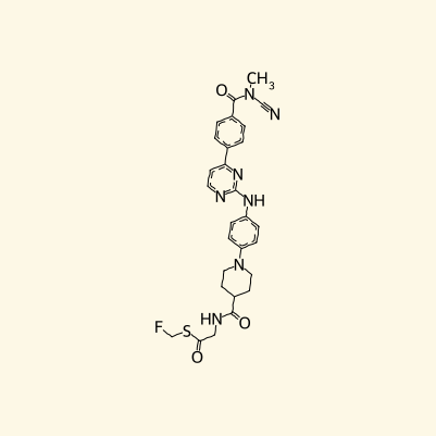 CN(C#N)C(=O)c1ccc(-c2ccnc(Nc3ccc(N4CCC(C(=O)NCC(=O)SCF)CC4)cc3)n2)cc1